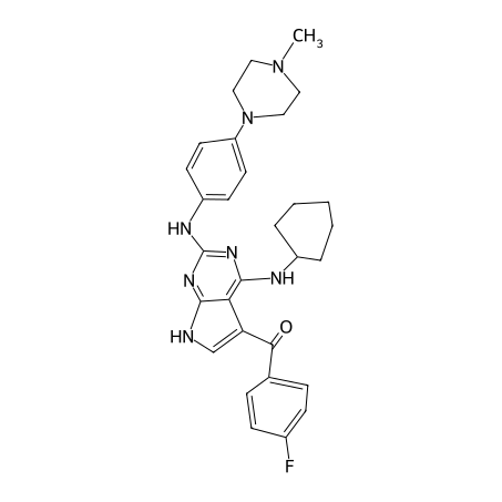 CN1CCN(c2ccc(Nc3nc(NC4CCCCC4)c4c(C(=O)c5ccc(F)cc5)c[nH]c4n3)cc2)CC1